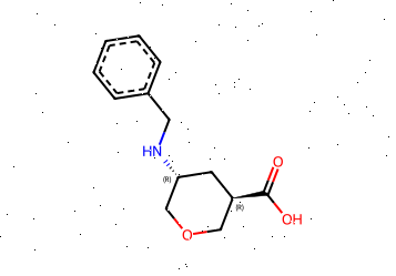 O=C(O)[C@H]1COC[C@H](NCc2ccccc2)C1